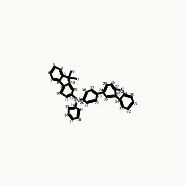 CC1(C)c2ccccc2-c2ccc(N(c3ccccc3)c3ccc(-c4ccc5sc6ccccc6c5c4)cc3)cc21